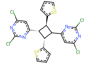 Clc1cc(C2[C@H](c3cccs3)[C@H](c3cc(Cl)nc(Cl)n3)[C@H]2c2cccs2)nc(Cl)n1